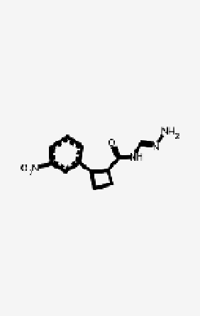 N/N=C/NC(=O)C1CCC1c1cccc([N+](=O)[O-])c1